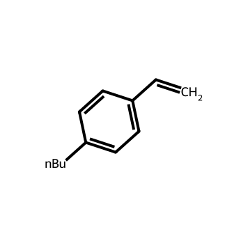 [CH2]CCCc1ccc(C=C)cc1